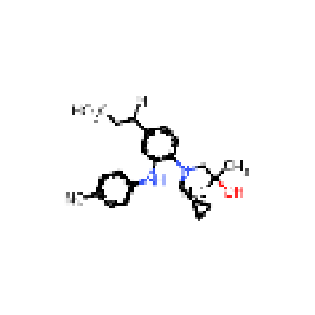 CCC(CC(=O)O)c1ccc(N(CC2CC2)CC(C)(C)O)c(Nc2ccc(C#N)cc2)c1